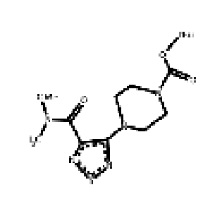 CON(C)C(=O)c1nsnc1N1CCN(C(=O)OC(C)(C)C)CC1